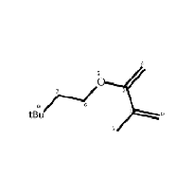 C=C(C)C(=C)OCCC(C)(C)C